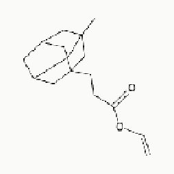 C=COC(=O)CCC12CC3CC(CC(C)(C3)C1)C2